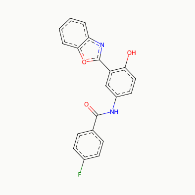 O=C(Nc1ccc(O)c(-c2nc3ccccc3o2)c1)c1ccc(F)cc1